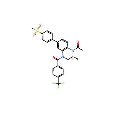 CC(=O)N1c2ccc(-c3ccc(S(C)(=O)=O)cc3)cc2N(C(=O)c2ccc(C(F)(F)F)cc2)C[C@@H]1C